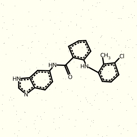 Cc1c(Cl)cccc1Nc1ccccc1C(=O)Nc1ccc2nc[nH]c2c1